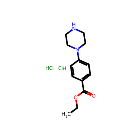 CCOC(=O)c1ccc(N2CCNCC2)cc1.Cl.Cl